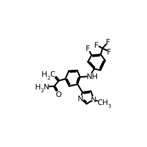 C=C(C(N)=O)c1ccc(Nc2ccc(C(F)(F)F)c(F)c2)c(-c2cn(C)cn2)c1